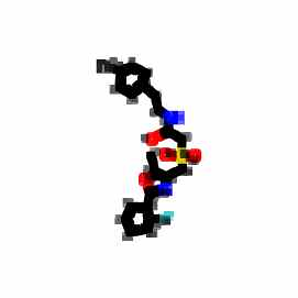 CCc1ccc(CCNC(=O)CS(=O)(=O)Cc2nc(-c3ccccc3F)oc2C)cc1